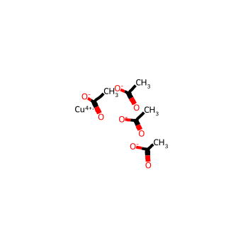 CC(=O)[O-].CC(=O)[O-].CC(=O)[O-].CC(=O)[O-].[Cu+4]